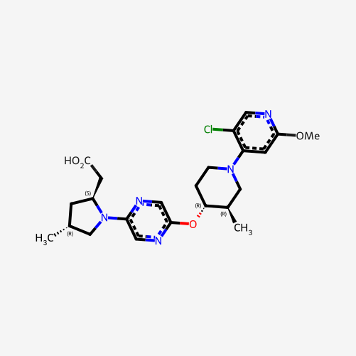 COc1cc(N2CC[C@@H](Oc3cnc(N4C[C@H](C)C[C@H]4CC(=O)O)cn3)[C@H](C)C2)c(Cl)cn1